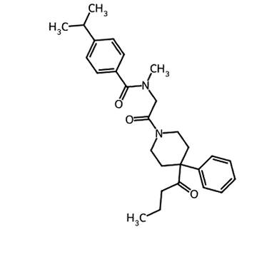 CCCC(=O)C1(c2ccccc2)CCN(C(=O)CN(C)C(=O)c2ccc(C(C)C)cc2)CC1